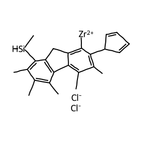 Cc1c(C)c2c(c([SiH](C)C)c1C)Cc1[c]([Zr+2])c(C3C=CC=C3)c(C)c(C)c1-2.[Cl-].[Cl-]